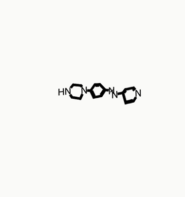 c1cc(N=Nc2ccc(N3CCNCC3)cc2)ccn1